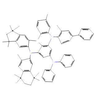 Cc1cc(-c2ccccc2)ccc1N1c2cc(C(C)(C)C)ccc2B2c3cc4c(cc3N(c3cc5c(cc3C)C(C)(C)CCC5(C)C)c3cc(N(c5ccccc5)c5ccccc5)cc1c32)C(C)(C)CC4(C)C